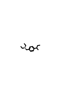 CCC(C)c1ccc(CN(CC)CC)cc1